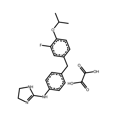 CC(C)Oc1ccc(Cc2ccc(NC3=NCCN3)cc2)cc1F.O=C(O)C(=O)O